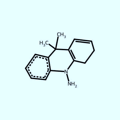 CC1(C)C2=C(CCC=C2)N(N)c2ccccc21